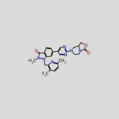 Cc1ccc(C(F)(F)F)c(Cn2c3cc(-c4cnc(N5CCN6C(=O)OCC6C5)nc4)ccc3c(=O)n2C)n1